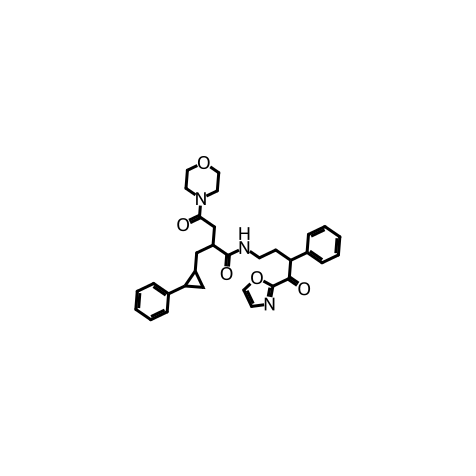 O=C(NCCC(C(=O)c1ncco1)c1ccccc1)C(CC(=O)N1CCOCC1)CC1CC1c1ccccc1